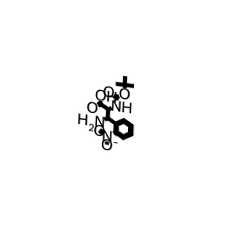 CC(C)(C)OC(=O)NC(C(=O)O)C(N)c1ccccc1[N+](=O)[O-]